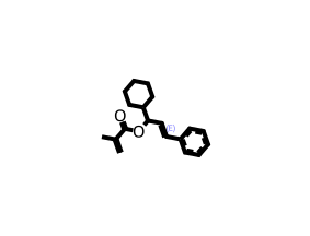 C=C(C)C(=O)OC(/C=C/c1ccccc1)C1CCCCC1